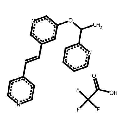 CC(Oc1cncc(C=Cc2ccncc2)c1)c1ccccn1.O=C(O)C(F)(F)F